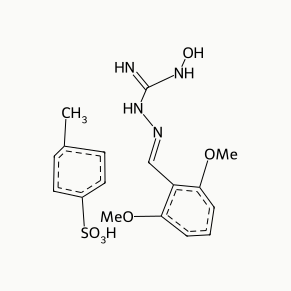 COc1cccc(OC)c1/C=N/NC(=N)NO.Cc1ccc(S(=O)(=O)O)cc1